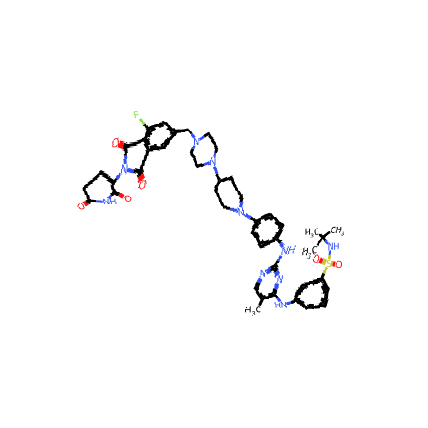 Cc1cnc(Nc2ccc(N3CCC(N4CCN(Cc5cc(F)c6c(c5)C(=O)N(C5CCC(=O)NC5=O)C6=O)CC4)CC3)cc2)nc1Nc1cccc(S(=O)(=O)NC(C)(C)C)c1